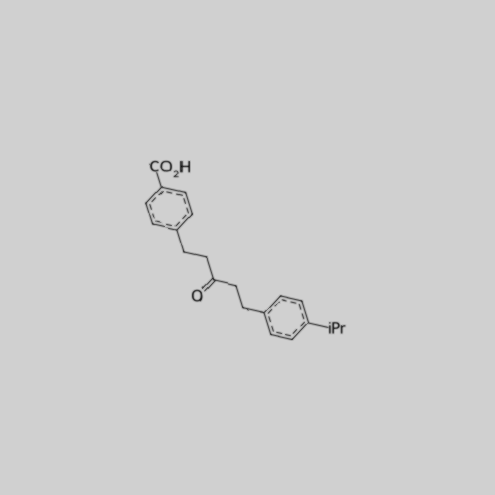 CC(C)c1ccc(CCC(=O)CCc2ccc(C(=O)O)cc2)cc1